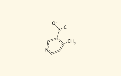 Cc1ccncc1[S+]([O-])Cl